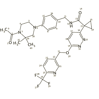 CC(=O)N1CCN(c2ccc(CNC(=O)C3(c4ccc(OCc5ccc(C(F)(F)F)nc5)nn4)CC3)cc2)CC1(C)C